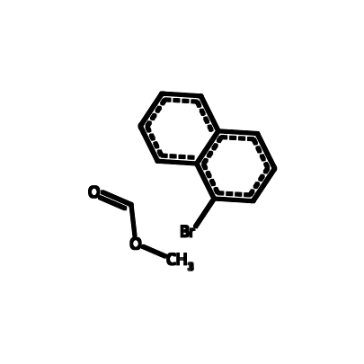 Brc1cccc2ccccc12.COC=O